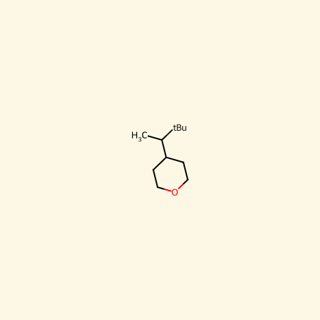 CC(C1CCOCC1)C(C)(C)C